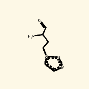 NC([C]=O)CCn1ccnn1